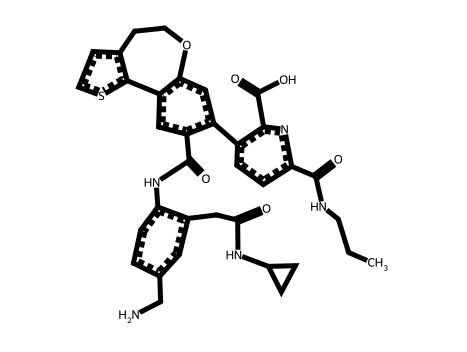 CCCNC(=O)c1ccc(-c2cc3c(cc2C(=O)Nc2ccc(CN)cc2CC(=O)NC2CC2)-c2sccc2CCO3)c(C(=O)O)n1